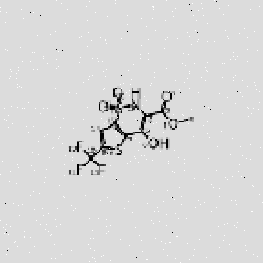 COC(=O)C1=C(O)c2sc(C(F)(F)F)cc2S(=O)(=O)N1